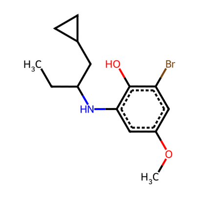 CCC(CC1CC1)Nc1cc(OC)cc(Br)c1O